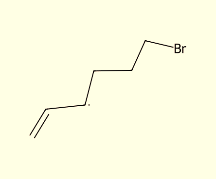 C=C[CH]CCCBr